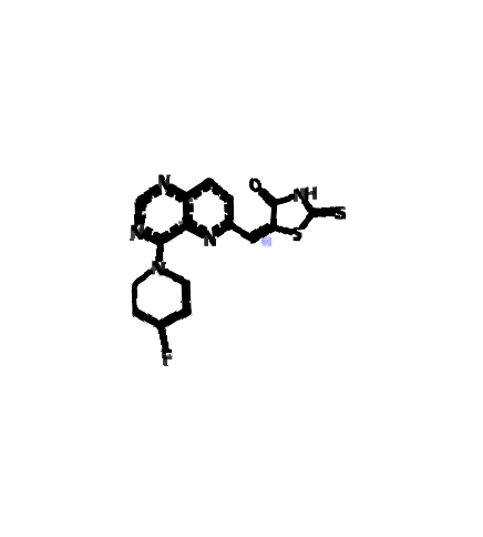 O=C1NC(=S)S/C1=C/c1ccc2ncnc(N3CCC(F)CC3)c2n1